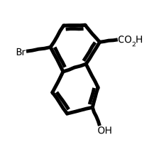 O=C(O)c1ccc(Br)c2ccc(O)cc12